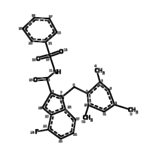 Cc1cc(C)c(Cn2c(C(=O)NS(=O)(=O)c3ccccc3)cc3c(F)cccc32)c(C)c1